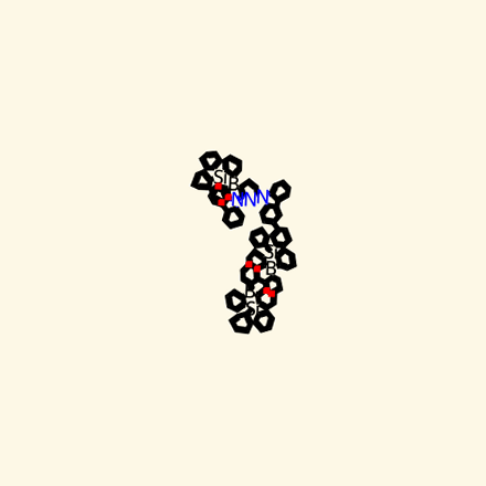 c1ccc([Si]2(c3ccccc3)c3ccccc3B(c3ccccc3-c3ccccc3B3c4ccccc4[Si](c4ccccc4)(c4cccc(-c5ccc6c(c5)c5ccccc5n6-c5ccc(B6c7ccccc7[Si](c7ccccc7)(c7ccccc7)c7ccccc76)c(-n6c7ccccc7c7ccccc76)n5)c4)c4ccccc43)c3ccccc32)cc1